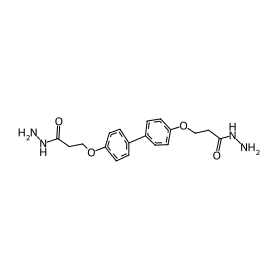 NNC(=O)CCOc1ccc(-c2ccc(OCCC(=O)NN)cc2)cc1